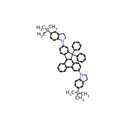 C[Si](C)(C)c1ccc2c(c1)CCN2c1ccc2c(c1)C(c1ccccc1)(c1ccccc1)c1c-2c2ccccc2c2cc(N3CCc4cc([Si](C)(C)C)ccc43)ccc12